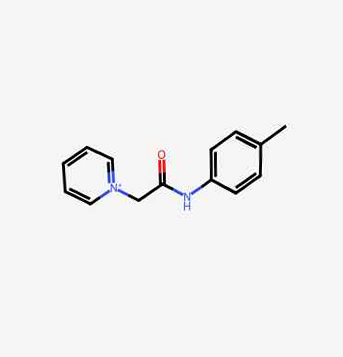 Cc1ccc(NC(=O)C[n+]2ccccc2)cc1